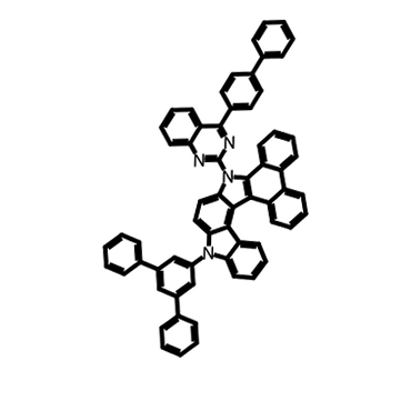 c1ccc(-c2ccc(-c3nc(-n4c5ccc6c(c7ccccc7n6-c6cc(-c7ccccc7)cc(-c7ccccc7)c6)c5c5c6ccccc6c6ccccc6c54)nc4ccccc34)cc2)cc1